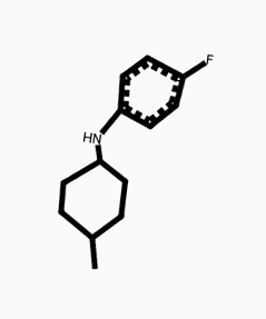 CC1CCC(Nc2ccc(F)cc2)CC1